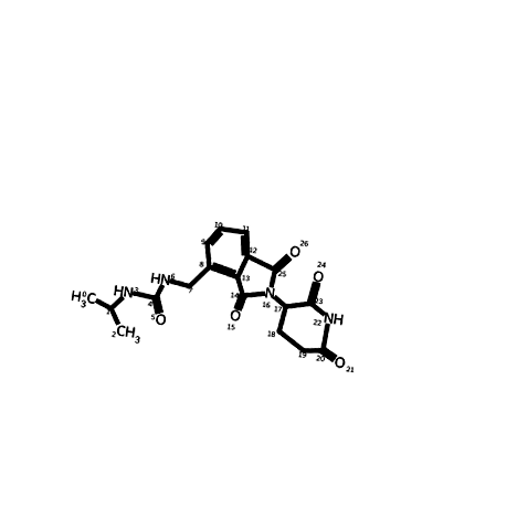 CC(C)NC(=O)NCc1cccc2c1C(=O)N(C1CCC(=O)NC1=O)C2=O